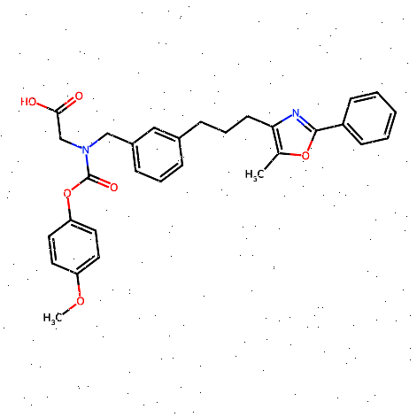 COc1ccc(OC(=O)N(CC(=O)O)Cc2cccc(CCCc3nc(-c4ccccc4)oc3C)c2)cc1